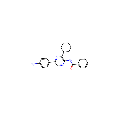 Nc1ccc(-c2cnc(NC(=O)c3ccccc3)c(C3CCCCC3)n2)cc1